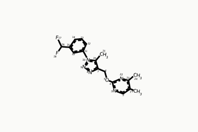 Cc1cnc(OCc2nnn(-c3cccc(C(F)F)c3)c2C)nc1C